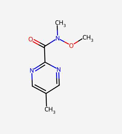 CON(C)C(=O)c1ncc(C)cn1